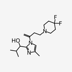 C=C(CCN1CCC(F)(F)CC1)n1cc(C)nc1C(O)C(C)C